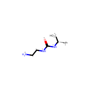 CCC[C@H](NC(=O)NCCN)C(=O)O